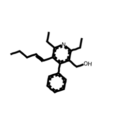 CCCC=Cc1c(CC)nc(CC)c(CO)c1-c1ccccc1